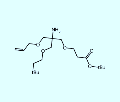 C=CCOCC(N)(COCCC(=O)OC(C)(C)C)COCCC(C)(C)C